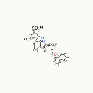 O=C(O)c1ccc(-c2cccc3c(CCCOc4cccc5ccccc45)c(C(=O)O)[nH]c23)c([N+](=O)[O-])c1